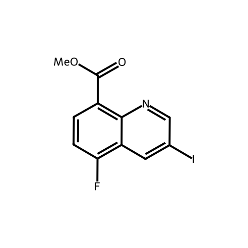 COC(=O)c1ccc(F)c2cc(I)cnc12